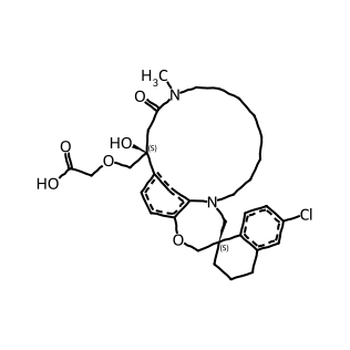 CN1CCCCCCCCN2C[C@@]3(CCCc4cc(Cl)ccc43)COc3ccc(cc32)[C@](O)(COCC(=O)O)CC1=O